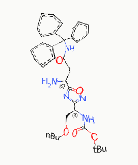 CCCCOC[C@H](NC(=O)OC(C)(C)C)c1noc([C@@H](N)CC(=O)NC(c2ccccc2)(c2ccccc2)c2ccccc2)n1